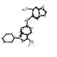 Cc1cc2ncnn2cc1Nc1ncc2c(C)nn(C3CCCCC3)c2n1